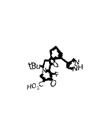 CC(C)(C)C1Cc2c(oc3c(-c4cn[nH]c4)cccc23)-c2c(F)c(=O)c(C(=O)O)cn21